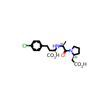 C[C@H](N[C@@H](CCc1ccc(Cl)cc1)C(=O)O)C(=O)N1CCC[C@H]1CC(=O)O